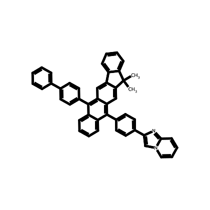 CC1(C)c2ccccc2-c2cc3c(-c4ccc(-c5ccccc5)cc4)c4ccccc4c(-c4ccc(-c5cn6ccccc6n5)cc4)c3cc21